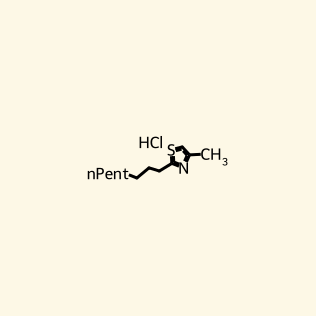 CCCCCCCCc1nc(C)cs1.Cl